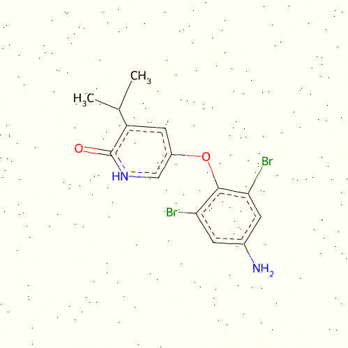 CC(C)c1cc(Oc2c(Br)cc(N)cc2Br)c[nH]c1=O